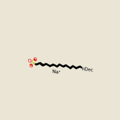 CCCCCCCCCCCCCCCCCCCCC/C=C/CS(=O)(=O)[O-].[Na+]